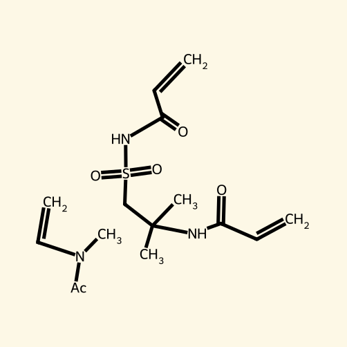 C=CC(=O)NC(C)(C)CS(=O)(=O)NC(=O)C=C.C=CN(C)C(C)=O